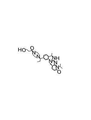 CCC(c1ccc(C(C)Nc2ncc3ccc(=O)n(C(C)C)c3n2)cc1)N1CCN(C(=O)CCO)CC1